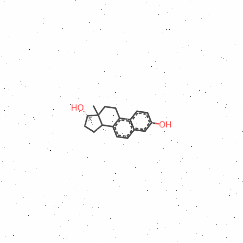 CC12CCc3c(ccc4cc(O)ccc34)C1CC[C@@H]2O